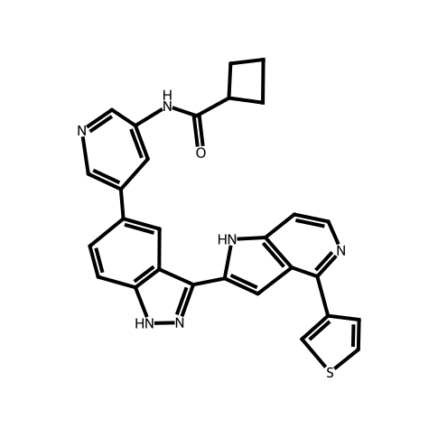 O=C(Nc1cncc(-c2ccc3[nH]nc(-c4cc5c(-c6ccsc6)nccc5[nH]4)c3c2)c1)C1CCC1